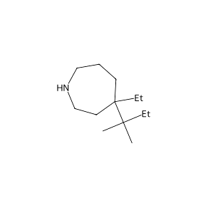 CCC(C)(C)C1(CC)CCCNCC1